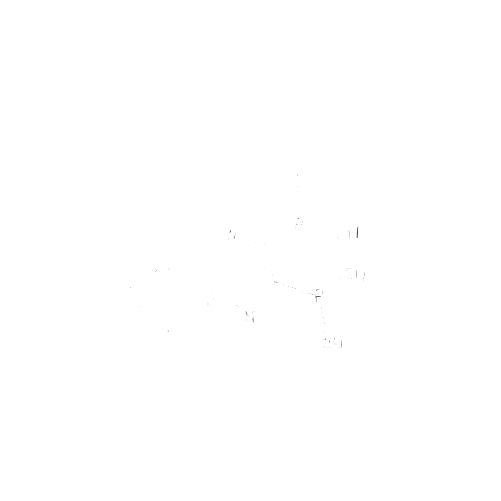 CP(I)c1nc2ccccc2nc1P(C)C(C)(C)C